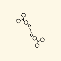 c1ccc(N(c2ccccc2)c2ccc(OCCCCOc3ccc(N(c4ccccc4)c4ccccc4)cc3)cc2)cc1